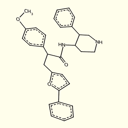 COc1ccc(C(Cc2ccc(-c3ccccc3)o2)C(=O)NC2CCNCC2c2ccccc2)cc1